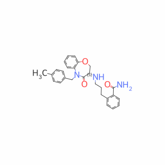 Cc1ccc(CN2C(=O)[C@@H](NCCCc3ccccc3C(N)=O)COc3ccccc32)cc1